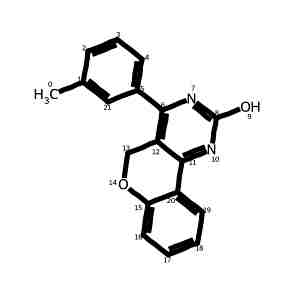 Cc1cccc(-c2nc(O)nc3c2COc2ccccc2-3)c1